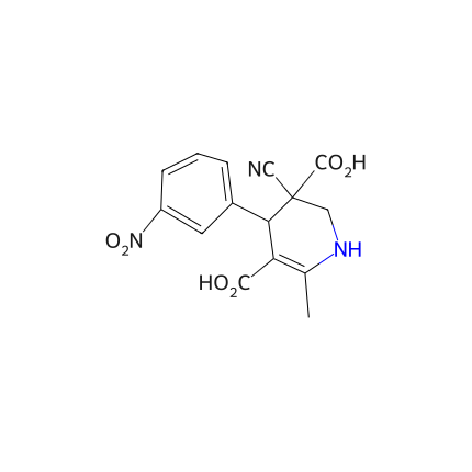 CC1=C(C(=O)O)C(c2cccc([N+](=O)[O-])c2)C(C#N)(C(=O)O)CN1